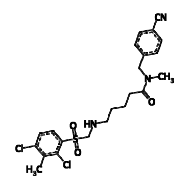 Cc1c(Cl)ccc(S(=O)(=O)CNCCCCC(=O)N(C)Cc2ccc(C#N)cc2)c1Cl